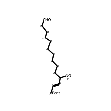 CCCCC/C=C/C(CCCCCCCCCC=O)N=O